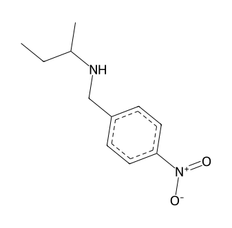 CCC(C)NCc1ccc([N+](=O)[O-])cc1